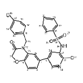 O=C1COc2ccc(-c3cnc(Cl)c(NS(=O)(=O)c4ccccc4)c3)cc2N1Cc1ccc(Cl)cc1